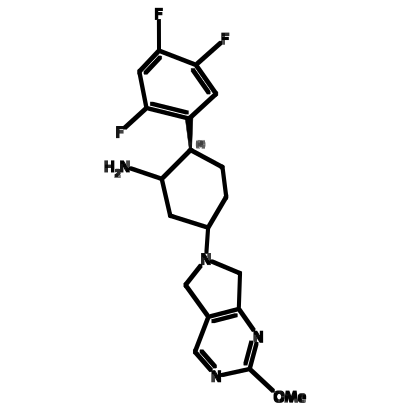 COc1ncc2c(n1)CN(C1CC[C@H](c3cc(F)c(F)cc3F)C(N)C1)C2